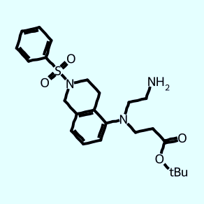 CC(C)(C)OC(=O)CCN(CCN)c1cccc2c1CCN(S(=O)(=O)c1ccccc1)C2